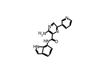 Nc1ncc(-c2cccnc2)nc1C(=O)Nc1cccc2cc[nH]c12